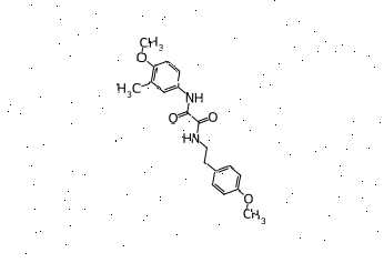 COc1ccc(CCNC(=O)C(=O)Nc2ccc(OC)c(C)c2)cc1